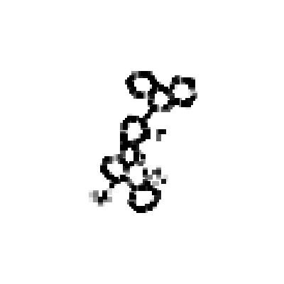 Cc1ccc2c(oc3c(F)c(-c4cc5ccccc5c5ccccc45)ccc32)c1-c1cccc[n+]1C